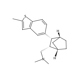 Cc1cc2cc([C@@H]3[C@@H]4CC[C@@H](C4)[C@@H]3CN(C)C)ccc2s1